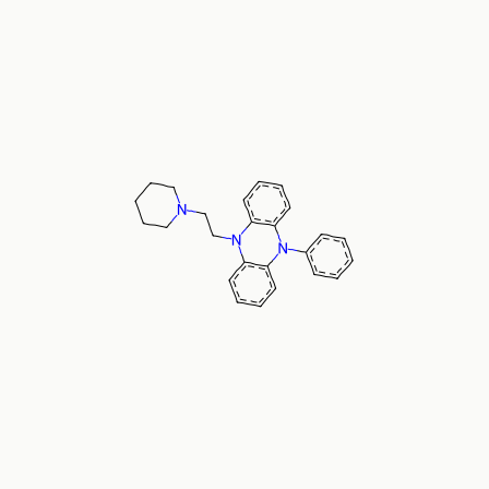 c1ccc(N2c3ccccc3N(CCN3CCCCC3)c3ccccc32)cc1